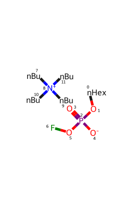 CCCCCCOP(=O)([O-])OF.CCCC[N+](CCCC)(CCCC)CCCC